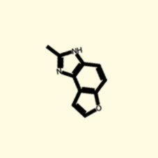 Cc1nc2c(ccc3occc32)[nH]1